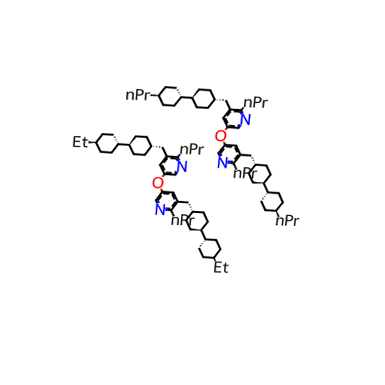 CCCc1ncc(Oc2cnc(CCC)c(C[C@H]3CC[C@H]([C@H]4CC[C@H](CC)CC4)CC3)c2)cc1C[C@H]1CC[C@H]([C@H]2CC[C@H](CC)CC2)CC1.CCCc1ncc(Oc2cnc(CCC)c(C[C@H]3CC[C@H]([C@H]4CC[C@H](CCC)CC4)CC3)c2)cc1C[C@H]1CC[C@H]([C@H]2CC[C@H](CCC)CC2)CC1